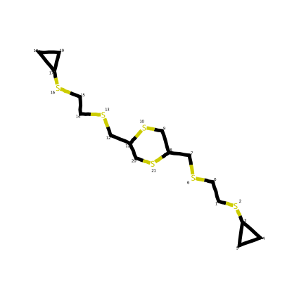 C(CSC1CC1)SCC1CSC(CSCCSC2CC2)CS1